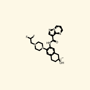 C[C@]1(O)CCc2cc(N3CCN(CC(F)F)CC3)c(NC(=O)c3cnn4cccnc34)cc2C1